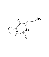 CCN(CC)c1ccccc1C(=O)OCCC(C)C